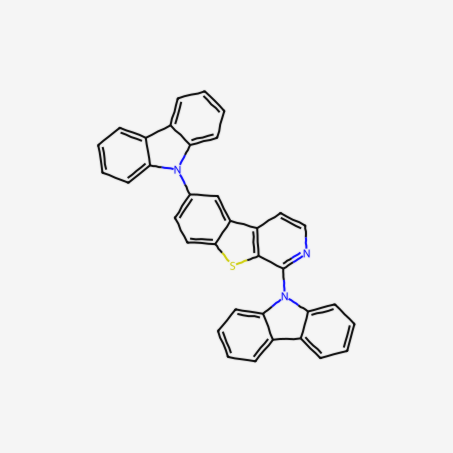 c1ccc2c(c1)c1ccccc1n2-c1ccc2sc3c(-n4c5ccccc5c5ccccc54)nccc3c2c1